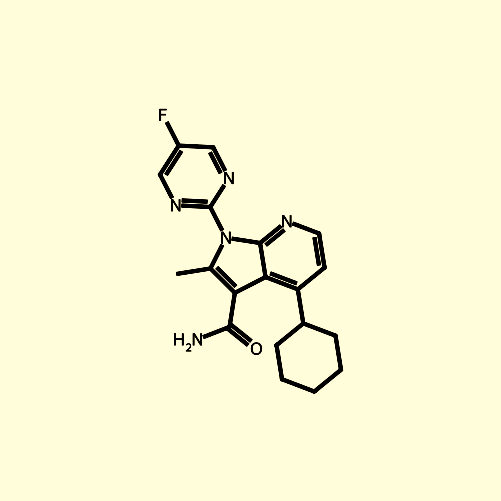 Cc1c(C(N)=O)c2c(C3CCCCC3)ccnc2n1-c1ncc(F)cn1